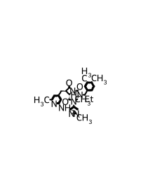 CCC(NC(=O)N1C(=O)[C@H](Cc2cc(C)nc(N)c2)[C@H]1C(=O)N(C)c1cnn(C)c1)c1ccc(C)c(C)c1